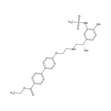 CCOC(=O)c1ccc(-c2ccc(OCCNC[C@@H](O)c3ccc(O)c(NS(C)(=O)=O)c3)cc2)cc1